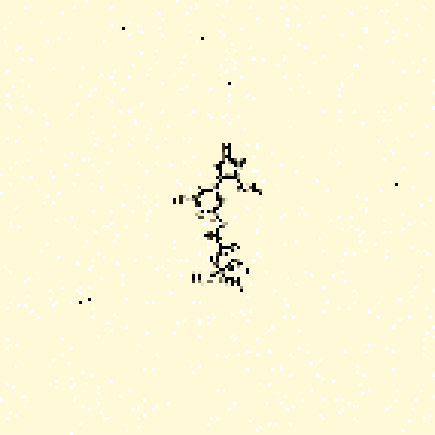 Cc1n[nH]cc1-c1cc(F)cc(CNC(=O)OC(C)(C)C)c1